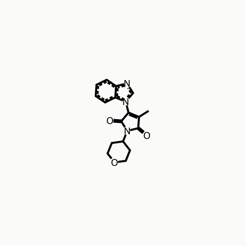 CC1=C(n2cnc3ccccc32)C(=O)N(C2CCOCC2)C1=O